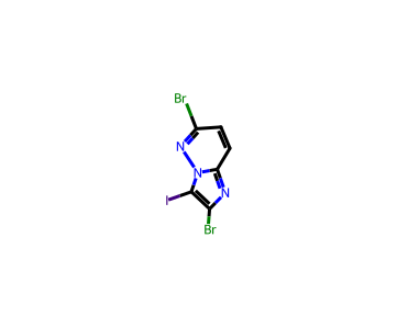 Brc1ccc2nc(Br)c(I)n2n1